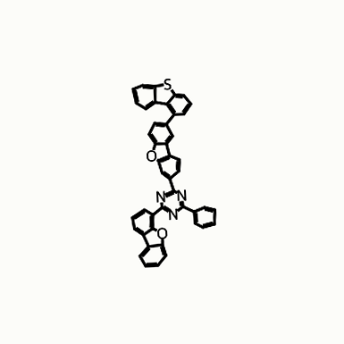 c1ccc(-c2nc(-c3ccc4c(c3)oc3ccc(-c5cccc6sc7ccccc7c56)cc34)nc(-c3cccc4c3oc3ccccc34)n2)cc1